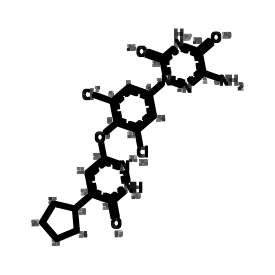 Nc1nn(-c2cc(Cl)c(Oc3cc(C4CCCC4)c(=O)[nH]n3)c(Cl)c2)c(=O)[nH]c1=O